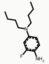 CCCCN(CCCC)c1ccc(N)c(F)c1